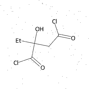 CCC(O)(CC(=O)Cl)C(=O)Cl